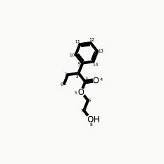 CCC(C(=O)OCCO)c1ccccc1